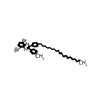 CCCCCCCCCCCCCCCCCCCCc1ccc(-c2nc3c(Br)ccc(Br)c3nc2-c2ccc(C)cc2)cc1